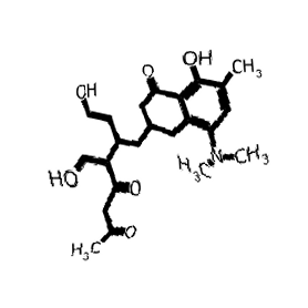 CC(=O)CC(=O)C(CO)C(CCO)CC1CC(=O)c2c(O)c(C)cc(N(C)C)c2C1